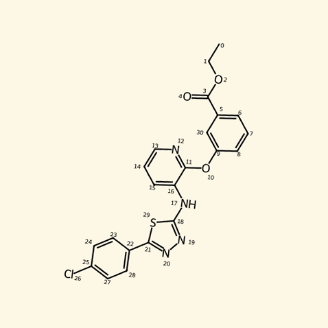 CCOC(=O)c1cccc(Oc2ncccc2Nc2nnc(-c3ccc(Cl)cc3)s2)c1